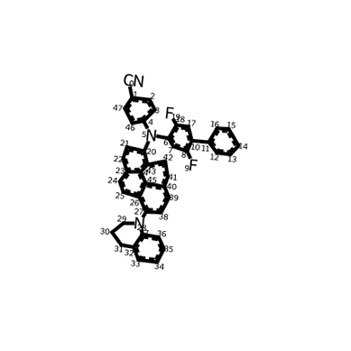 N#Cc1ccc(N(c2cc(F)c(-c3ccccc3)cc2F)c2ccc3ccc4c(N5CCCc6ccccc65)ccc5ccc2c3c54)cc1